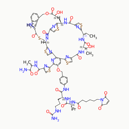 C=C(NC(=O)c1csc(-c2nc3c(cc2OCc2ccc(NC(=O)[C@H](CCCNC(N)=O)NC(=O)[C@@H](NC(=O)CCCCCN4C(=O)C=CC4=O)C(C)C)cc2)-c2nc(cs2)C(=O)N[C@@H]([C@@H](C)O)C(=O)N/C(=C\C)c2nc(cs2)C(=O)N[C@H]2C[C@H](O)C(=O)OCc4cccc5[nH]c(c(C)c45)C(=O)SC[C@H](NC(=O)c4csc2n4)c2nc-3cs2)n1)C(N)=O